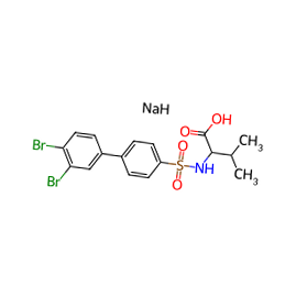 CC(C)C(NS(=O)(=O)c1ccc(-c2ccc(Br)c(Br)c2)cc1)C(=O)O.[NaH]